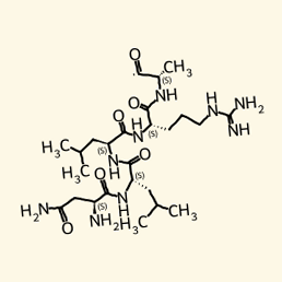 CC(C)C[C@H](NC(=O)[C@H](CC(C)C)NC(=O)[C@@H](N)CC(N)=O)C(=O)N[C@@H](CCCNC(=N)N)C(=O)N[C@@H](C)[C]=O